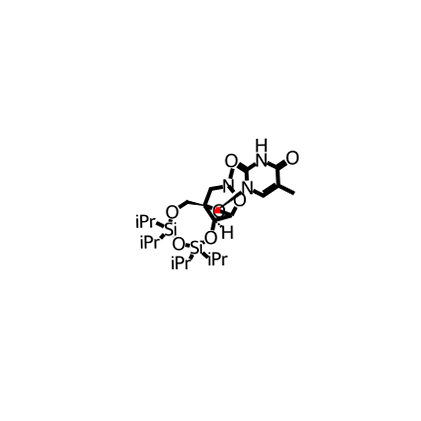 Cc1cn([C@@H]2O[C@]34CO[Si](C(C)C)(C(C)C)O[Si](C(C)C)(C(C)C)O[C@@H]3C2ON(C)C4)c(=O)[nH]c1=O